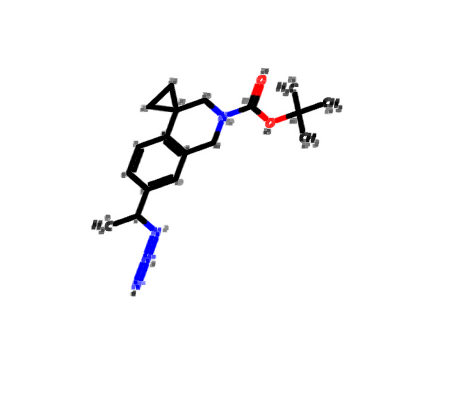 CC(N=[N+]=[N-])c1ccc2c(c1)CN(C(=O)OC(C)(C)C)CC21CC1